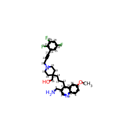 COc1ccc2ncc(CN)c(CCCC3(CO)CCN(CC#Cc4cc(F)cc(F)c4F)CC3)c2c1